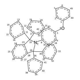 c1ccc(Oc2ccc(N3C(c4ccccc4)(c4ccccc4)c4ccccc4C3(c3ccccc3)c3ccccc3)cc2)cc1